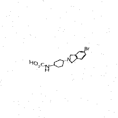 O=C(O)N[C@H]1CC[C@H](N2Cc3ccc(Br)cc3C2)CC1